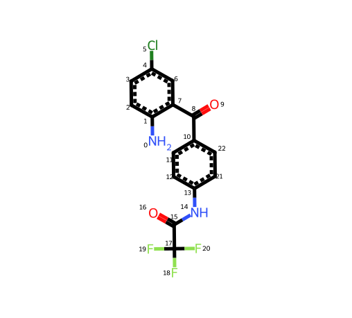 Nc1ccc(Cl)cc1C(=O)c1ccc(NC(=O)C(F)(F)F)cc1